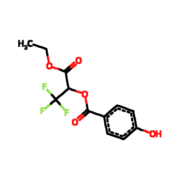 CCOC(=O)C(OC(=O)c1ccc(O)cc1)C(F)(F)F